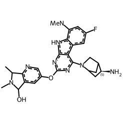 CNc1cc(F)cc2c1[nH]c1nc(Oc3cnc4c(c3)C(O)N(C)C4C)nc(N3CC4CC3C[C@@H]4N)c12